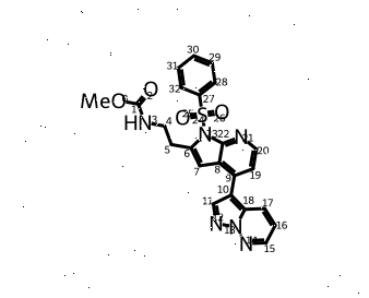 COC(=O)NCCc1cc2c(-c3cnn4ncccc34)ccnc2n1S(=O)(=O)c1ccccc1